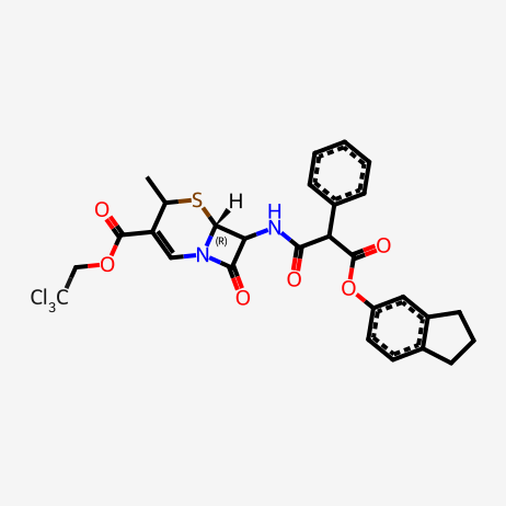 CC1S[C@@H]2C(NC(=O)C(C(=O)Oc3ccc4c(c3)CCC4)c3ccccc3)C(=O)N2C=C1C(=O)OCC(Cl)(Cl)Cl